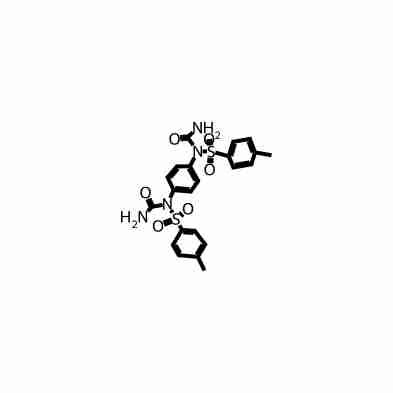 Cc1ccc(S(=O)(=O)N(C(N)=O)c2ccc(N(C(N)=O)S(=O)(=O)c3ccc(C)cc3)cc2)cc1